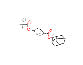 CCC(C)(C)C(=O)OC1CC2CC1CC2C(=O)OC1(C)C2CC3CC(C2)CC1C3